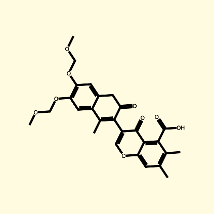 COCOc1cc2c(cc1OCOC)C(C)=C(c1coc3cc(C)c(C)c(C(=O)O)c3c1=O)C(=O)C2